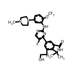 CN1CCN(c2ccc(OC(F)(F)F)c(Nc3ncc(F)c(-c4cc(CCO)c5c(c4)C(=O)NC5(C)C)n3)c2)CC1